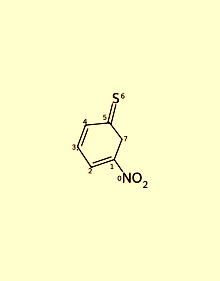 O=[N+]([O-])C1=C[C]=CC(=S)C1